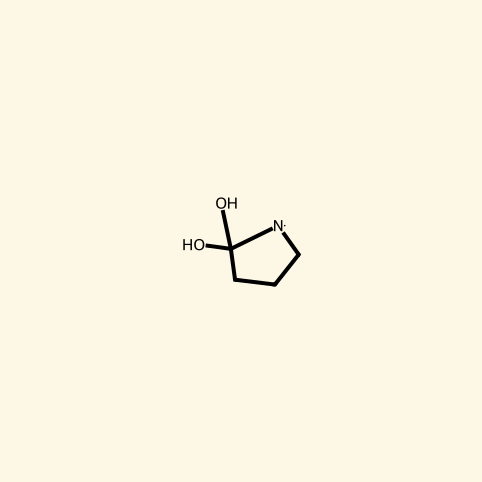 OC1(O)CCC[N]1